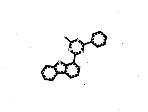 Ic1nc(-c2ccccc2)nc(-c2cccc3c2oc2ccccc23)n1